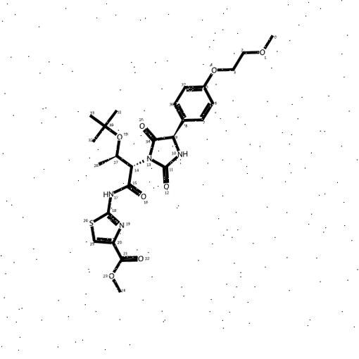 COCCOc1ccc([C@H]2NC(=O)N([C@H](C(=O)Nc3nc(C(=O)OC)cs3)[C@@H](C)OC(C)(C)C)C2=O)cc1